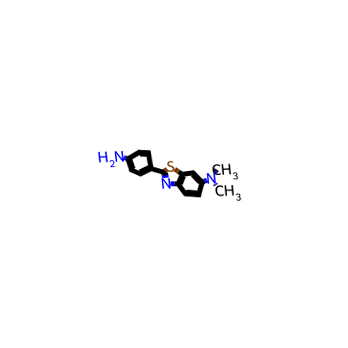 CN(C)c1ccc2nc(-c3ccc(N)cc3)sc2c1